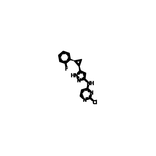 Fc1ccccc1[C@@H]1C[C@H]1c1cc(Nc2ccnc(Cl)n2)n[nH]1